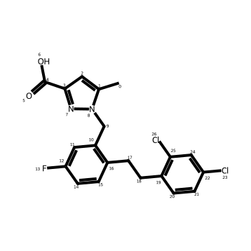 Cc1cc(C(=O)O)nn1Cc1cc(F)ccc1CCc1ccc(Cl)cc1Cl